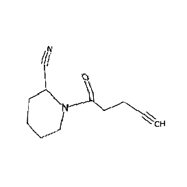 C#CCCC(=O)N1CCCCC1C#N